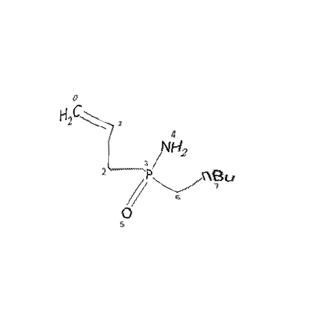 C=CCP(N)(=O)CCCCC